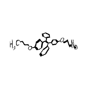 CCCCOc1ccc(/C(=C(\c2ccccc2)c2ccc(OCCCN=O)cc2)c2ccccc2)cc1